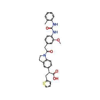 COc1cc(CC(=O)N2CCc3cc(C(Cc4cccs4)C(=O)O)ccc32)ccc1NC(=O)Nc1ccccc1C